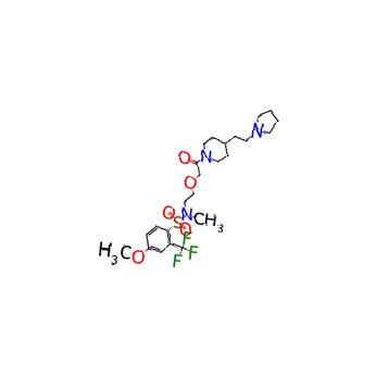 COc1ccc(S(=O)(=O)N(C)CCOCC(=O)N2CCC(CCN3CCCC3)CC2)c(C(F)(F)F)c1